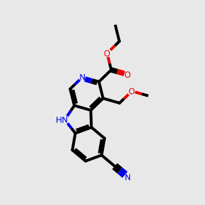 CCOC(=O)c1ncc2[nH]c3ccc(C#N)cc3c2c1COC